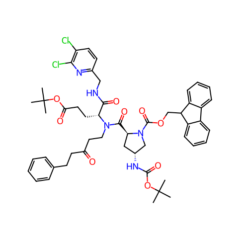 CC(C)(C)OC(=O)CC[C@H](C(=O)NCc1ccc(Cl)c(Cl)n1)N(CCC(=O)CCc1ccccc1)C(=O)[C@@H]1C[C@@H](NC(=O)OC(C)(C)C)CN1C(=O)OCC1c2ccccc2-c2ccccc21